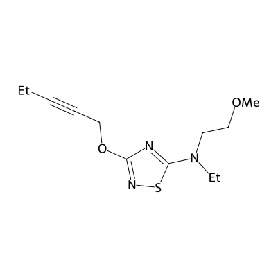 CCC#CCOc1nsc(N(CC)CCOC)n1